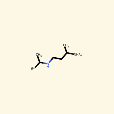 CC(=O)NC(C)CCNC(C)C(C)C